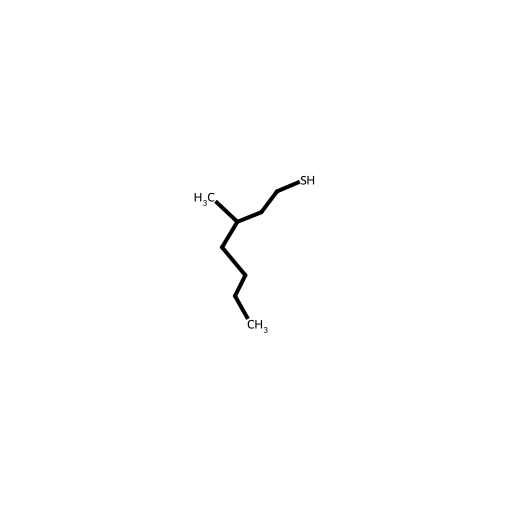 CCCCC(C)CCS